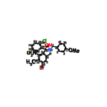 COc1ccc(CN2Cc3cc(Br)c(C)c([N+](=O)[O-])c3C2(O)c2cc(F)ccc2Cl)cc1